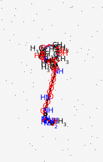 COc1cccc2cc(-c3nc([C@H]4CC[C@H](C(=O)NCCOCCOCCNC(=O)CCOCCOCCOCCOCCOCCNC(=O)O[C@@H]5CC[C@@H](C[C@@H](C)[C@@H]6CC(=O)[C@H](C)/C=C(\C)[C@@H](O)[C@@H](O)C(=O)[C@H](C)C[C@H](C)/C=C/C=C/C=C(\C)[C@@H](OC)C[C@@H]7CC[C@@H](C)[C@@](O)(O7)C(=O)C(=O)N7CCCC[C@H]7C(=O)O6)C[C@H]5OC)CC4)n4ncnc(N)c34)[nH]c12